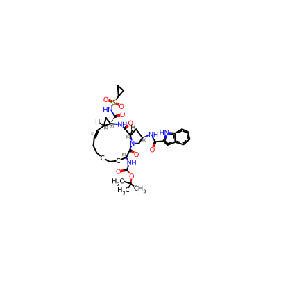 CC(C)(C)OC(=O)N[C@H]1CCCCC/C=C\[C@@H]2C[C@@]2(C(=O)NS(=O)(=O)C2CC2)NC(=O)[C@@H]2C[C@@H](NC(=O)c3cc4ccccc4[nH]3)CN2C1=O